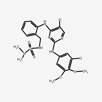 COc1cc(Nc2ncc(Cl)c(Nc3ccccc3CNS(=O)(=O)N(C)C)n2)cc(Cl)c1OC